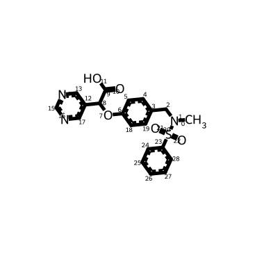 CN(Cc1ccc(OC(C(=O)O)c2cncnc2)cc1)S(=O)(=O)c1ccccc1